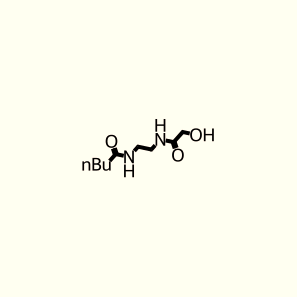 CCCCC(=O)NCCNC(=O)CO